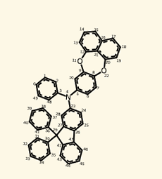 c1ccc(N(c2ccc3c(c2)Oc2cccc4cccc(c24)O3)c2ccc3c(c2)C(c2ccccc2)(c2ccccc2)c2ccccc2-3)cc1